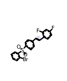 O=S(=O)(c1ccc(/C=C/c2ccc(F)cc2F)cc1)c1ccccc1Br